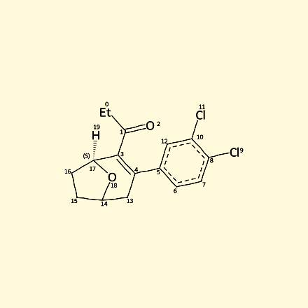 CCC(=O)C1=C(c2ccc(Cl)c(Cl)c2)CC2CC[C@@H]1O2